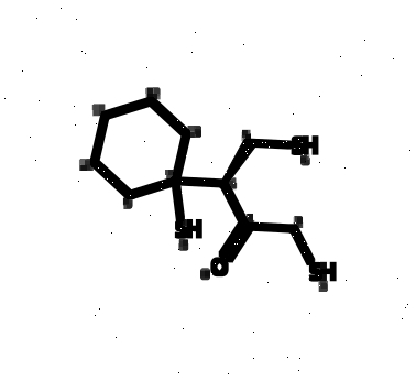 O=C(CS)[C@H](CS)C1(S)CCCCC1